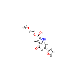 CCCOCCOC(=O)c1[nH]c2c(c1C)C(=O)CC(c1ccco1)C2